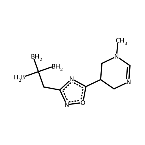 BC(B)(B)Cc1noc(C2CN=CN(C)C2)n1